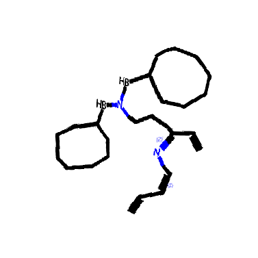 C=C/C=C\N=C(/C=C)CCN(BC1CCCCCCC1)BC1CCCCCCC1